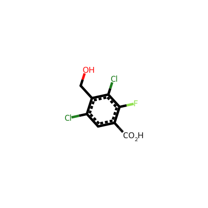 O=C(O)c1cc(Cl)c(CO)c(Cl)c1F